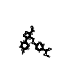 COC(=O)c1ccc(OCc2c(-c3ccc(F)cn3)noc2C=O)nc1